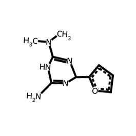 CN(C)C1=NC(c2ccco2)N=C(N)N1